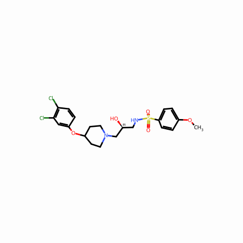 COc1ccc(S(=O)(=O)NC[C@H](O)CN2CCC(Oc3ccc(Cl)c(Cl)c3)CC2)cc1